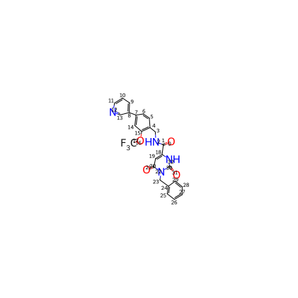 O=C(NCc1ccc(-c2cccnc2)cc1OC(F)(F)F)c1cc(=O)n(Cc2ccccc2)c(=O)[nH]1